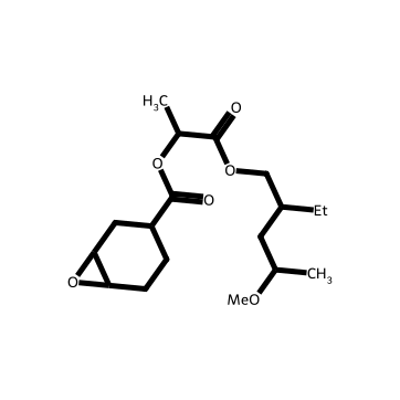 CCC(COC(=O)C(C)OC(=O)C1CCC2OC2C1)CC(C)OC